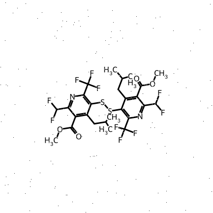 COC(=O)c1c(C(F)F)nc(C(F)(F)F)c(SSc2c(C(F)(F)F)nc(C(F)F)c(C(=O)OC)c2CC(C)C)c1CC(C)C